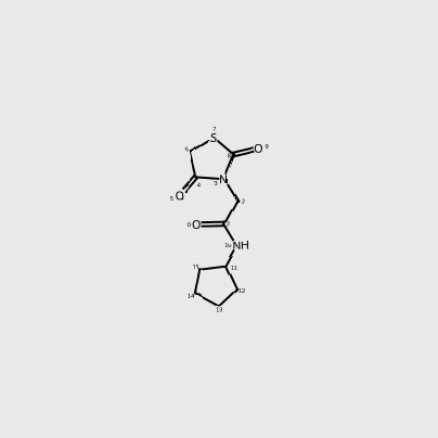 O=C(CN1C(=O)CSC1=O)NC1CCCC1